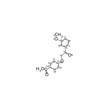 COc1cccc(C(=O)COc2ccc(C(C)=O)cc2)c1